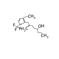 C=C(CCC(O)CCC)Cc1cc(C(F)(F)F)ccc1CC